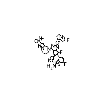 CN(C)C(=O)c1cc2n(n1)CCCCN(c1nc(OC[C@@]34CCCN3C[C@H](F)C4)nc3c(F)c(-c4ccc(F)c5sc(N)c(C#N)c45)c(Cl)cc13)C2